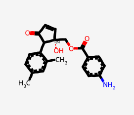 Cc1ccc(C2C(=O)C=C[C@@]2(O)COC(=O)c2ccc(N)cc2)c(C)c1